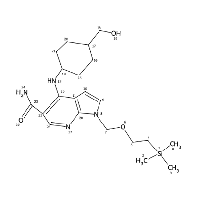 C[Si](C)(C)CCOCn1ccc2c(NC3CCC(CO)CC3)c(C(N)=O)cnc21